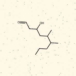 CCCC(C)C(C)CC(O)CC=O